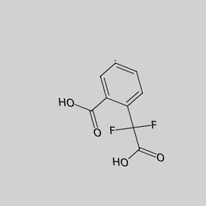 O=C(O)c1c[c]ccc1C(F)(F)C(=O)O